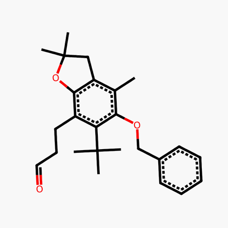 Cc1c2c(c(CCC=O)c(C(C)(C)C)c1OCc1ccccc1)OC(C)(C)C2